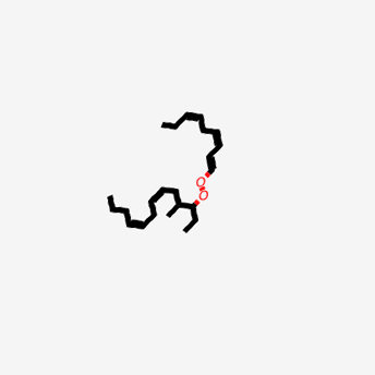 CC/C=C\C/C=C\C=C\OOC(CC)C(C)C/C=C\C/C=C\CCC